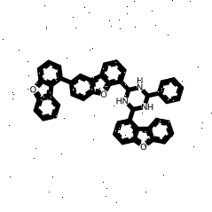 c1ccc(C2NC(c3cccc4c3oc3ccc(-c5cccc6oc7ccccc7c56)cc34)NC(c3cccc4oc5ccccc5c34)N2)cc1